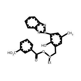 CCN(Cc1cc(C)cc(-n2nc3ccccc3n2)c1O)OC(=O)c1cccc(C(=O)O)c1